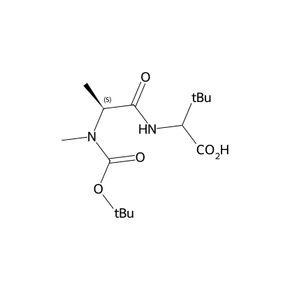 C[C@@H](C(=O)NC(C(=O)O)C(C)(C)C)N(C)C(=O)OC(C)(C)C